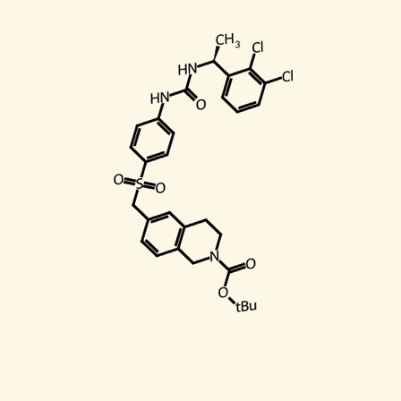 C[C@H](NC(=O)Nc1ccc(S(=O)(=O)Cc2ccc3c(c2)CCN(C(=O)OC(C)(C)C)C3)cc1)c1cccc(Cl)c1Cl